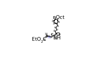 CCCCCCCCc1ccc(CCCCC(=O)C(=N)S/C=C2\CC2C(=O)OCC)cc1